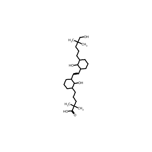 CC(C)(CO)CCCC1CCCC(C=CC2CCCC(CCCC(C)(C)C(=O)O)C2O)C1O